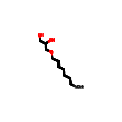 CCCCCCCCCCCCC=CCOCC(O)CO